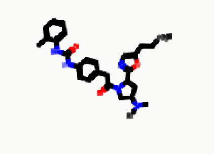 CCN(C)C1CC(c2ncc(CCC(=O)O)o2)N(C(=O)Cc2ccc(NC(=O)Nc3ccccc3C)cc2)C1